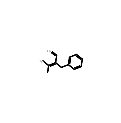 C/C(N)=C(/C=N)Cc1ccccc1